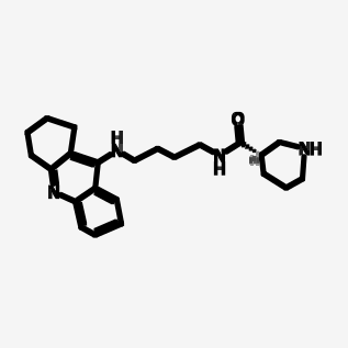 O=C(NCCCCNc1c2c(nc3ccccc13)CCCC2)[C@H]1CCCNC1